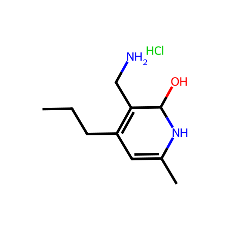 CCCC1=C(CN)C(O)NC(C)=C1.Cl